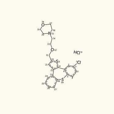 Cl.Clc1ccc2c(c1)-c1sc(COCCN3CCOCC3)cc1-c1ccccc1S2